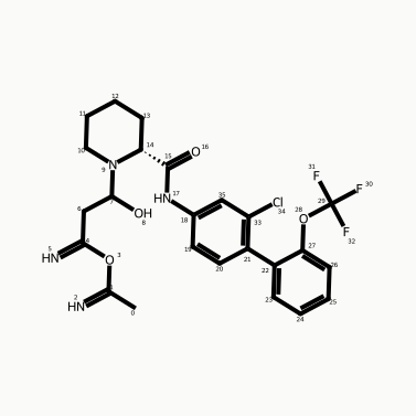 CC(=N)OC(=N)CC(O)N1CCCC[C@@H]1C(=O)Nc1ccc(-c2ccccc2OC(F)(F)F)c(Cl)c1